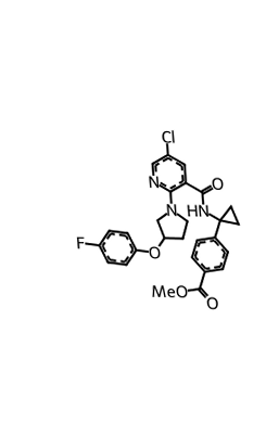 COC(=O)c1ccc(C2(NC(=O)c3cc(Cl)cnc3N3CCC(Oc4ccc(F)cc4)C3)CC2)cc1